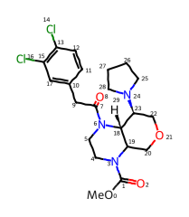 COC(=O)N1CCN(C(=O)Cc2ccc(Cl)c(Cl)c2)[C@H]2C1COC[C@@H]2N1CCCC1